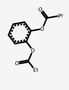 CCC(=O)Oc1ccccc1OC(=O)C(C)C